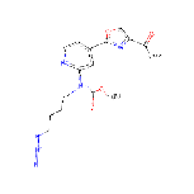 COC(=O)c1coc(-c2ccnc(N(CCCCN=[N+]=[N-])C(=O)OC(C)(C)C)c2)n1